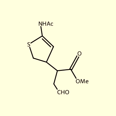 COC(=O)C(CC=O)C1C=C(NC(C)=O)SC1